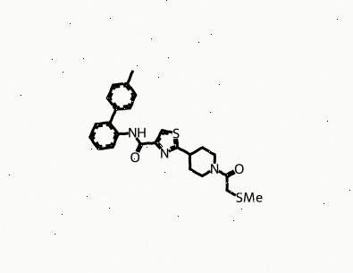 CSCC(=O)N1CCC(c2nc(C(=O)Nc3ccccc3-c3ccc(C)cc3)cs2)CC1